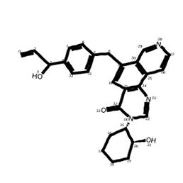 C=CC(O)c1ccc(Cc2cc3c(=O)n([C@H]4CCCC[C@@H]4O)cnc3c3ccncc23)cc1